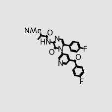 CNC(C)C(=O)Nc1ncc(-c2ccc(F)cc2)n(-c2cncc(C(=O)c3ccc(F)cc3)c2)c1=O